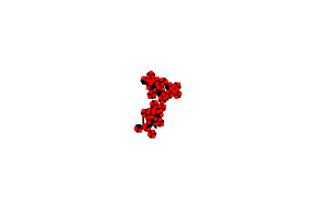 c1ccc(-c2cc(-c3ccccc3)cc(-c3nc(-c4ccccc4)nc(-n4c5ccccc5c5ccc6c(c54)-c4ccccc4C64c5ccccc5-c5c(-c6ccc7c(c6)c6cc8c(cc6n7-c6nc(-c7ccccc7)nc(-n7c9ccccc9c9cc%10c(cc97)C(c7ccccc7)(c7ccccc7)c7ccccc7-%10)n6)C(c6ccccc6)(c6ccccc6)c6ccccc6-8)cccc54)n3)c2)cc1